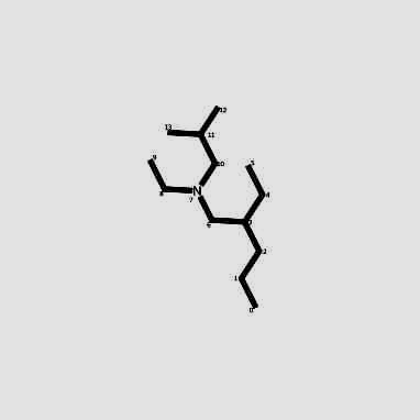 CCCC(CC)CN(CC)CC(C)C